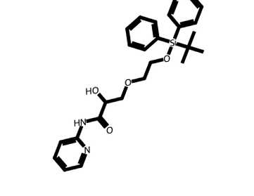 CC(C)(C)[Si](OCCOCC(O)C(=O)Nc1ccccn1)(c1ccccc1)c1ccccc1